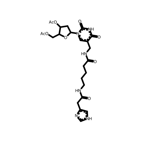 CC(=O)OCC1OC(n2cc(CNC(=O)CCCCNC(=O)Cc3c[nH]cn3)c(=O)[nH]c2=O)CC1OC(C)=O